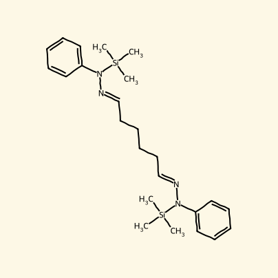 C[Si](C)(C)N(N=CCCCCC=NN(c1ccccc1)[Si](C)(C)C)c1ccccc1